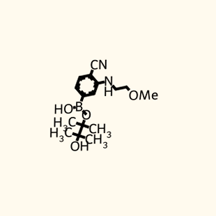 COCCNc1cc(B(O)OC(C)(C)C(C)(C)O)ccc1C#N